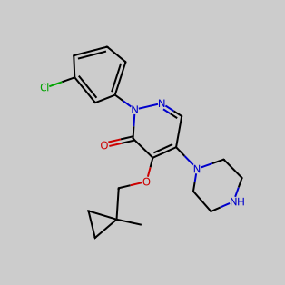 CC1(COc2c(N3CCNCC3)cnn(-c3cccc(Cl)c3)c2=O)CC1